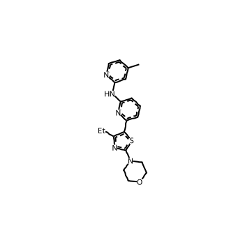 CCc1nc(N2CCOCC2)sc1-c1cccc(Nc2cc(C)ccn2)n1